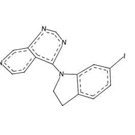 Ic1ccc2c(c1)N(c1ncnc3cnccc13)CC2